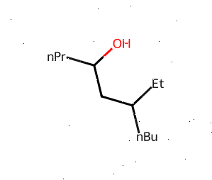 CCCCC(CC)CC(O)CCC